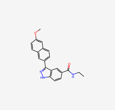 CCNC(=O)c1ccc2[nH]nc(-c3ccc4cc(OC)ccc4c3)c2c1